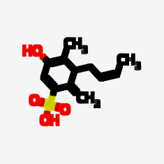 C=C1C(S(=O)(=O)O)=CC(O)=C(C)C1C/C=C\C